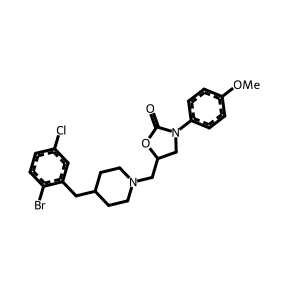 COc1ccc(N2CC(CN3CCC(Cc4cc(Cl)ccc4Br)CC3)OC2=O)cc1